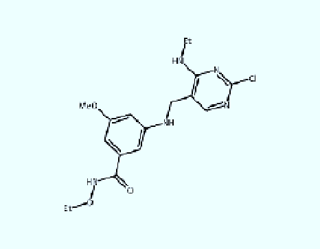 CCNc1nc(Cl)ncc1CNc1cc(OC)cc(C(=O)NOCC)c1